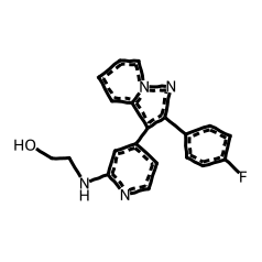 OCCNc1cc(-c2c(-c3ccc(F)cc3)nn3ccccc23)ccn1